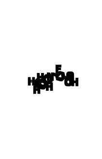 O=C(O)c1ccc(CN2CCC3(CC2)[C@H]2C[C@@H]4C[C@@H](C[C@H]3C4)C2)c(F)c1